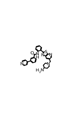 NC1CCN(Cc2cnc3sc(-c4ccccc4NC(=O)c4cccc(-c5ccncc5)c4)nc3c2)CC1